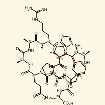 CC(C)[C@H](NC(=O)[C@H](Cc1ccccc1)NC(=O)[C@@H]1CCCN1C(=O)[C@H](Cc1c[nH]cn1)NC(=O)[C@H](CCCNC(=N)N)NC(=O)[C@H](C)NC(=O)[C@H](C)NC(=O)[C@H](CCC(N)=O)NC(=O)[C@H](CCC(N)=O)NC(=O)[C@@H]1CCCN1C(=O)[C@@H](N)[C@@H](C)O)C(=O)O